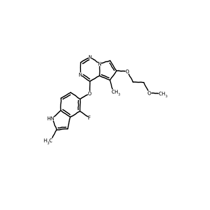 COCCOc1cn2ncnc(Oc3ccc4[nH]c(C)cc4c3F)c2c1C